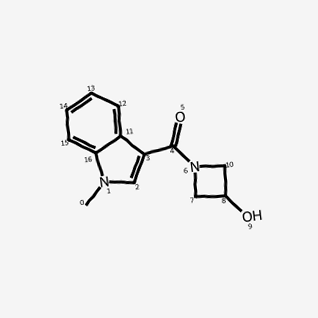 Cn1cc(C(=O)N2CC(O)C2)c2ccccc21